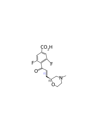 CN1CCO[C@@H](/C=C/C(=O)c2c(F)cc(C(=O)O)cc2F)C1